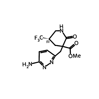 COC(=O)C1(Cc2ccc(N)nn2)C[C@H](C(F)(F)F)CNC1=O